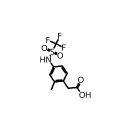 Cc1cc(NS(=O)(=O)C(F)(F)F)ccc1CC(=O)O